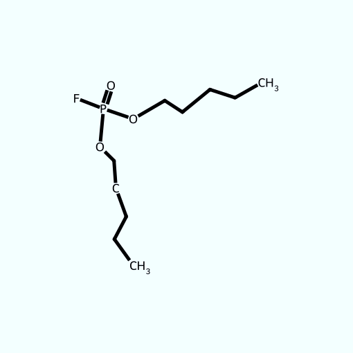 CCCCCOP(=O)(F)OCCCCC